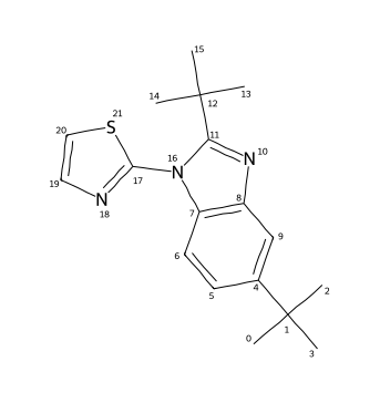 CC(C)(C)c1ccc2c(c1)nc(C(C)(C)C)n2-c1nccs1